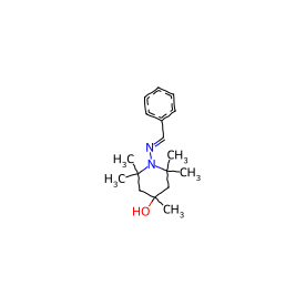 CC1(O)CC(C)(C)N(N=Cc2ccccc2)C(C)(C)C1